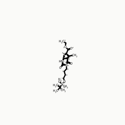 CCOC(=O)c1sc2[nH]c(=O)n(CCCCO[Si](C)(C)C(C)(C)C)c(=O)c2c1C